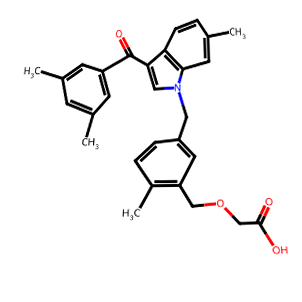 Cc1cc(C)cc(C(=O)c2cn(Cc3ccc(C)c(COCC(=O)O)c3)c3cc(C)ccc23)c1